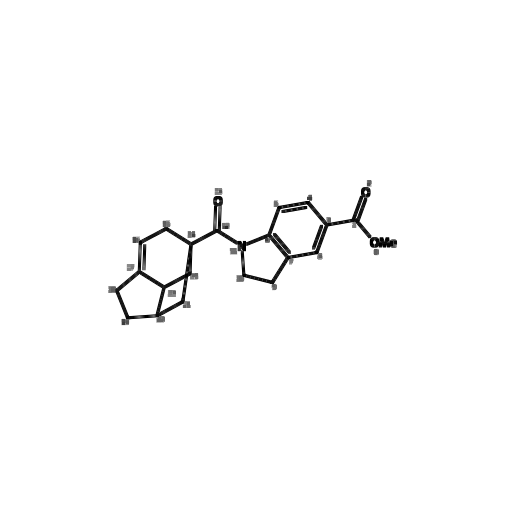 COC(=O)c1ccc2c(c1)CCN2C(=O)C12CC=C3CCC(C1)C3C2